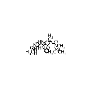 COC(C)CN(C)C(=O)CCC1(C)CC(=O)c2c([nH]c(-c3ccnc(NC(C)=O)c3)c2Nc2ccccc2)C1